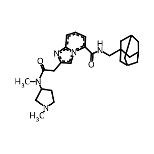 CN1CCC(N(C)C(=O)Cc2cn3c(C(=O)NCC45CC6CC(CC(C6)C4)C5)cccc3n2)C1